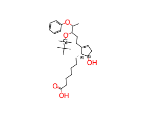 CC(Oc1ccccc1)C(CCC1=CC[C@H](O)[C@@H]1CCCCCCC(=O)O)O[Si](C)(C)C(C)(C)C